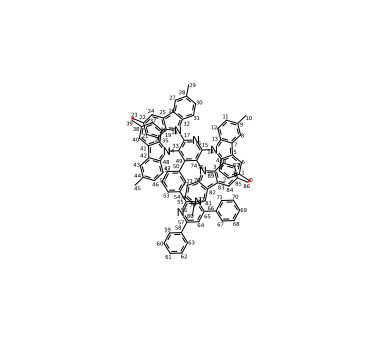 Cc1ccc2c(c1)c1cc(C)ccc1n2-c1nc(-n2c3ccc(C)cc3c3cc(C)ccc32)c(-n2c3ccc(C)cc3c3cc(C)ccc32)c(-c2cccc(-c3nc(-c4ccccc4)cc(-c4ccccc4)n3)c2)c1-n1c2ccc(C)cc2c2cc(C)ccc21